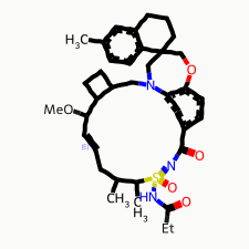 CCC(=O)NS1(=O)=NC(=O)c2ccc3c(c2)N(CC2CCC2C(OC)/C=C/CC(C)C1C)CC1(CCCc2cc(C)ccc21)CO3